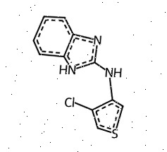 Clc1cscc1Nc1nc2ccccc2[nH]1